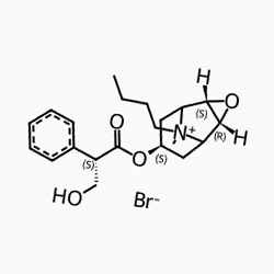 CCCC[N+]1(C)C2C[C@@H](OC(=O)[C@H](CO)c3ccccc3)CC1[C@@H]1O[C@H]21.[Br-]